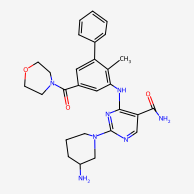 Cc1c(Nc2nc(N3CCCC(N)C3)ncc2C(N)=O)cc(C(=O)N2CCOCC2)cc1-c1ccccc1